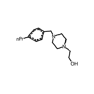 CCCc1ccc(CN2CCN(CCO)CC2)cc1